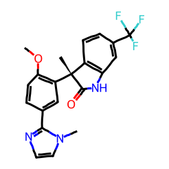 COc1ccc(-c2nccn2C)cc1[C@@]1(C)C(=O)Nc2cc(C(F)(F)F)ccc21